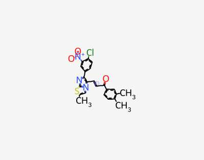 Cc1cn2c(/C=C/C(=O)c3ccc(C)c(C)c3)c(-c3ccc(Cl)c([N+](=O)[O-])c3)nc2s1